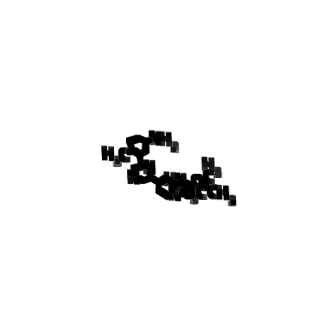 Cc1ccc(N)cc1-c1cncc(-c2ccnc(NC(=O)OC(C)(C)C)c2)n1